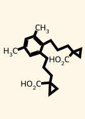 Cc1cc(C)c(CCCC2(C(=O)O)CC2)c(CCCC2(C(=O)O)CC2)c1